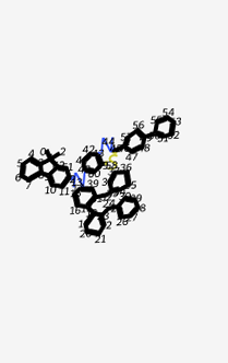 CC1(C)c2ccccc2-c2ccc(N(c3ccc(-c4ccccc4Cc4ccccc4)c(Cc4ccccc4)c3)c3ccc4nc(-c5ccc(-c6ccccc6)cc5)sc4c3)cc21